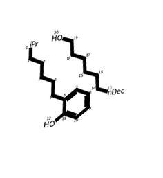 CC(C)CCCCCc1ccccc1O.CCCCCCCCCCCCCCCCO